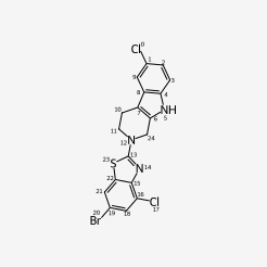 Clc1ccc2[nH]c3c(c2c1)CCN(c1nc2c(Cl)cc(Br)cc2s1)C3